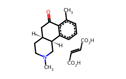 Cc1cccc2c1C(=O)C[C@@H]1CCN(C)C[C@H]21.O=C(O)/C=C/C(=O)O